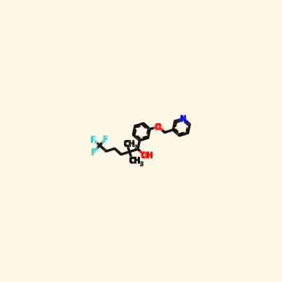 CC(C)(CCCC(F)(F)F)C(O)c1cccc(OCc2cccnc2)c1